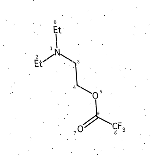 CCN(CC)CCOC(=O)C(F)(F)F